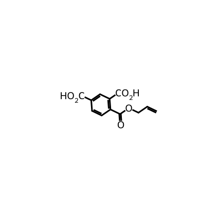 C=CCOC(=O)c1ccc(C(=O)O)cc1C(=O)O